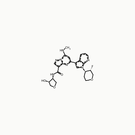 CNc1cc(-c2cn([C@@H]3CCOC[C@H]3F)c3ncccc23)nc2c(C(=O)N[C@H]3COC[C@H]3O)cnn12